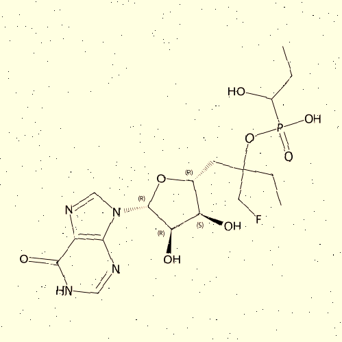 CCC(O)P(=O)(O)OC(CC)(CF)C[C@H]1O[C@@H](n2cnc3c(=O)[nH]cnc32)[C@H](O)[C@@H]1O